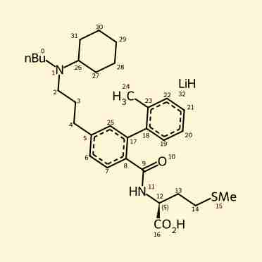 CCCCN(CCCc1ccc(C(=O)N[C@@H](CCSC)C(=O)O)c(-c2ccccc2C)c1)C1CCCCC1.[LiH]